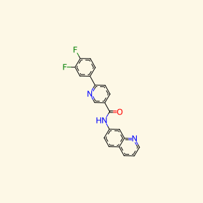 O=C(Nc1ccc2cccnc2c1)c1ccc(-c2ccc(F)c(F)c2)nc1